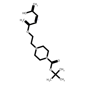 C=C(O)/C=C\C(=C)OCCN1CCN(C(=O)OC(C)(C)C)CC1